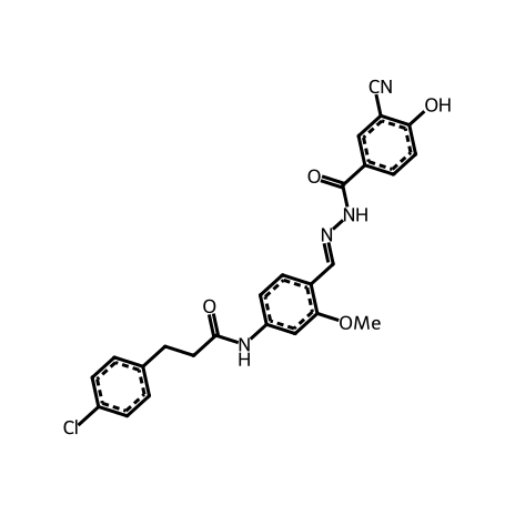 COc1cc(NC(=O)CCc2ccc(Cl)cc2)ccc1C=NNC(=O)c1ccc(O)c(C#N)c1